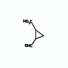 O=CC1CC1C(=O)O